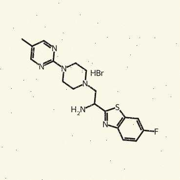 Br.Cc1cnc(N2CCN(CC(N)c3nc4ccc(F)cc4s3)CC2)nc1